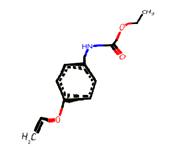 C=COc1ccc(NC(=O)OCC)cc1